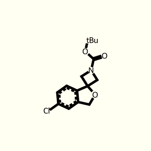 CC(C)(C)OC(=O)N1CC2(C1)OCc1cc(Cl)ccc12